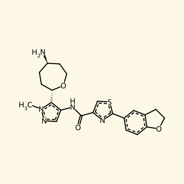 Cn1ncc(NC(=O)c2csc(-c3ccc4c(c3)CCO4)n2)c1[C@@H]1CC[C@@H](N)CCO1